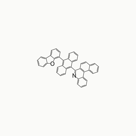 c1ccc2c(c1)ccc1c(-c3c4ccccc4c(-c4cccc5c4oc4ccccc45)c4ccccc34)nc3ccccc3c12